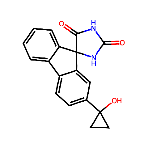 O=C1NC(=O)C2(N1)c1ccccc1-c1ccc(C3(O)CC3)cc12